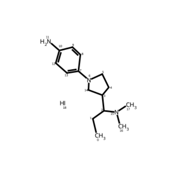 CCC(C1CCN(c2ccc(N)cc2)C1)N(C)C.I